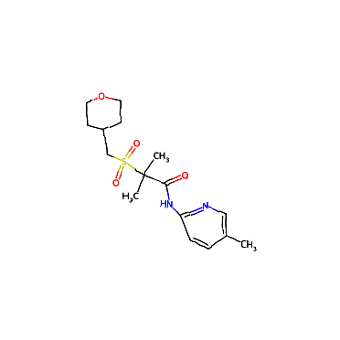 Cc1ccc(NC(=O)C(C)(C)S(=O)(=O)CC2CCOCC2)nc1